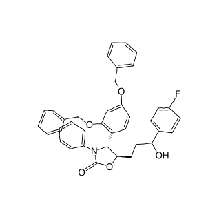 O=C1O[C@H](CCC(O)c2ccc(F)cc2)[C@@H](c2ccc(OCc3ccccc3)cc2OCc2ccccc2)N1c1ccccc1